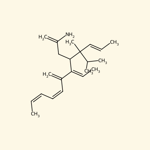 C=C(N)CC(/C(=C\C)C(=C)/C=C\C=C/C)C(C)(C=CC)C(C)C